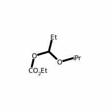 CCOC(=O)OC(CC)OC(C)C